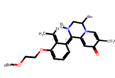 CCCCOCCOc1cccc(=C2\c3cc(=O)c(C(=O)O)cn3C(C(C)(C)C)CN2C)/c1=C(/C)CC